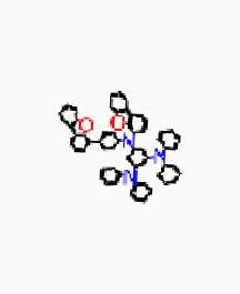 c1ccc(N(c2ccccc2)c2cc(N(c3ccccc3)c3ccccc3)cc(N(c3ccc(-c4cccc5c4oc4ccccc45)cc3)c3cccc4c3oc3ccccc34)c2)cc1